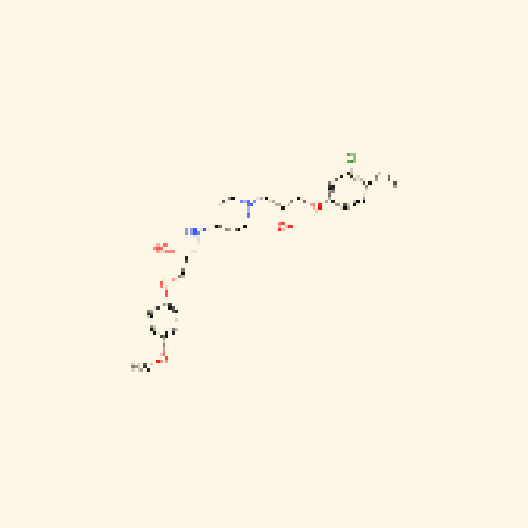 COc1ccc(OC[C@H](O)CNC2CCN(C[C@@H](O)COc3ccc(C)c(Cl)c3)CC2)cc1